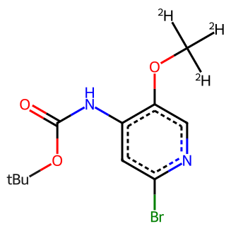 [2H]C([2H])([2H])Oc1cnc(Br)cc1NC(=O)OC(C)(C)C